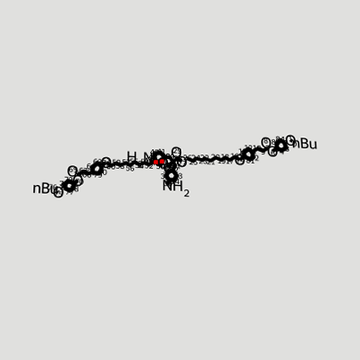 CCCCOc1ccc(OC(=O)C=Cc2ccc(OCCCCCCCCCCCOC(=O)C(Cc3ccc(N)cc3)(Cc3ccc(N)cc3)C(=O)OCCCCCCCCCCCOc3ccc(C=CC(=O)Oc4ccc(OCCCC)cc4)cc3)cc2)cc1